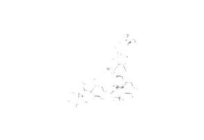 Cc1cc(-c2cnc3cccc(-c4ccc(CN5CCS(=O)(=O)CC5)c(Cl)c4)c3n2)ccc1C(=O)N1CCCC1